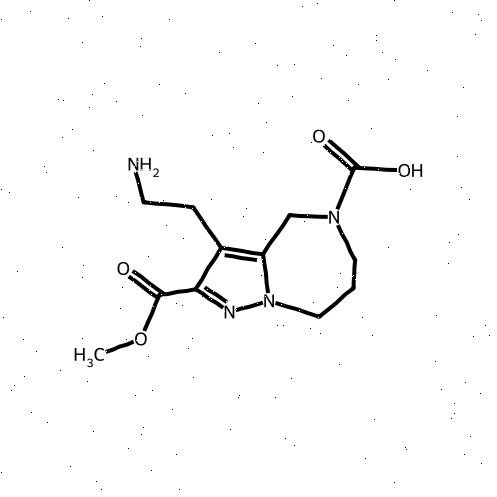 COC(=O)c1nn2c(c1CCN)CN(C(=O)O)CCC2